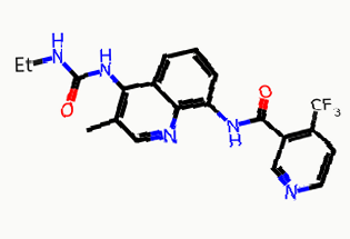 CCNC(=O)Nc1c(C)cnc2c(NC(=O)c3cnccc3C(F)(F)F)cccc12